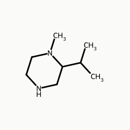 CC(C)C1CNCCN1C